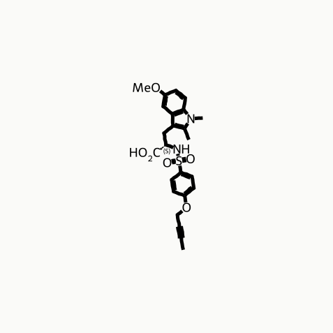 CC#CCOc1ccc(S(=O)(=O)N[C@@H](Cc2c(C)n(C)c3ccc(OC)cc23)C(=O)O)cc1